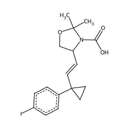 CC1(C)OCC(C=CC2(c3ccc(I)cc3)CC2)N1C(=O)O